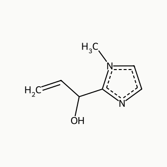 C=CC(O)c1nccn1C